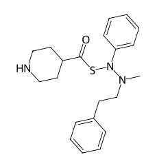 CN(CCc1ccccc1)N(SC(=O)C1CCNCC1)c1ccccc1